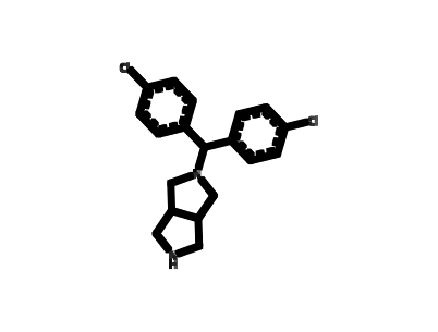 Clc1ccc(C(c2ccc(Cl)cc2)N2CC3CNCC3C2)cc1